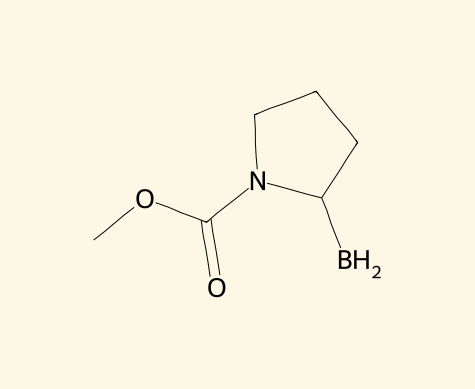 BC1CCCN1C(=O)OC